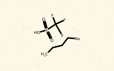 CCC[CH2][Na].O=S(=O)(O)C(F)(F)F